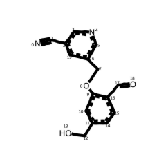 N#Cc1cncc(COc2cc(CO)ccc2C=O)c1